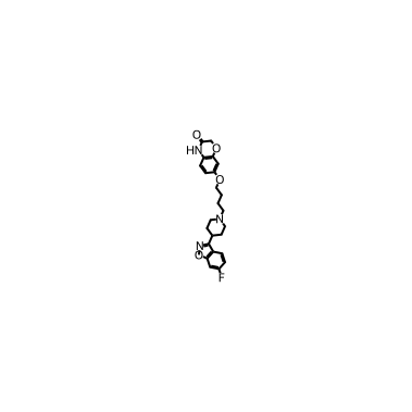 O=C1COc2cc(OCCCCN3CCC(c4noc5cc(F)ccc45)CC3)ccc2N1